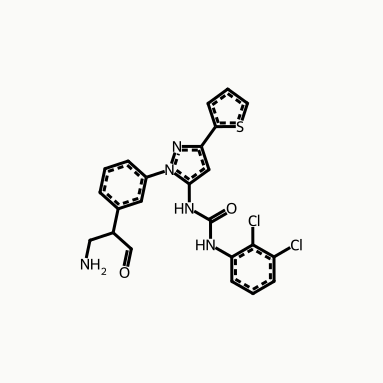 NCC(C=O)c1cccc(-n2nc(-c3cccs3)cc2NC(=O)Nc2cccc(Cl)c2Cl)c1